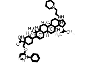 C=C(C)[C@@H]1CC[C@]2(NCCN3CCCCC3)CC[C@]3(C)[C@H](CC[C@@H]4[C@@]5(C)CC=C(C6=CCC(COc7cnnn7-c7ccccc7)(C(=O)O)CC6)C(C)(C)[C@@H]5CC[C@]43C)[C@@H]12